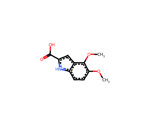 COc1ccc2[nH]c(C(=O)O)cc2c1OC